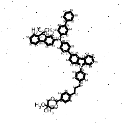 CC1(C)COC(c2ccc(CCCc3ccc(-n4c5ccccc5c5cc(-c6ccc(N(c7ccc(-c8ccccc8)cc7)c7ccc8c(c7)C(C)(C)c7ccccc7-8)cc6)ccc54)cc3)cc2)OC1